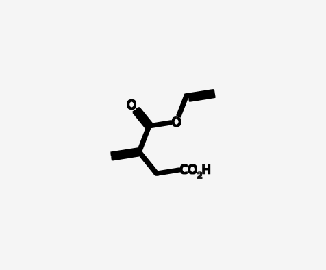 C=COC(=O)C(=C)CC(=O)O